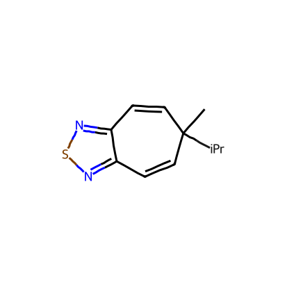 CC(C)C1(C)C=Cc2nsnc2C=C1